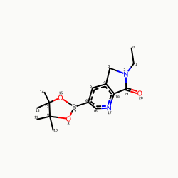 CCN1Cc2cc(B3OC(C)(C)C(C)(C)O3)cnc2C1=O